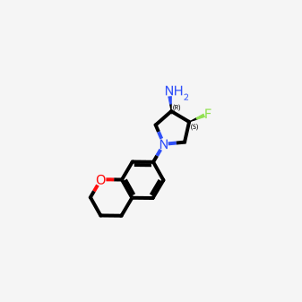 N[C@@H]1CN(c2ccc3c(c2)OCCC3)C[C@@H]1F